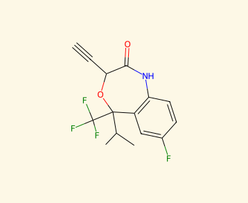 C#CC1OC(C(C)C)(C(F)(F)F)c2cc(F)ccc2NC1=O